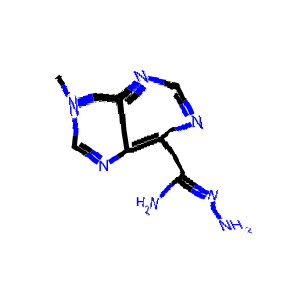 Cn1cnc2c(/C(N)=N/N)ncnc21